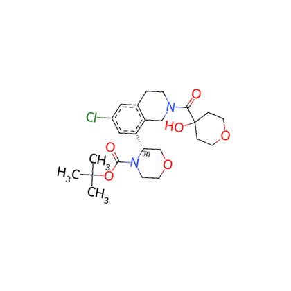 CC(C)(C)OC(=O)N1CCOC[C@H]1c1cc(Cl)cc2c1CN(C(=O)C1(O)CCOCC1)CC2